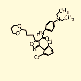 CCN(CC)c1ccc(NC(=O)c2c(-c3c(Cl)cccc3Cl)noc2CCCC2OCCCO2)cc1